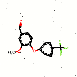 COc1cc(C=O)ccc1Oc1ccc(C(F)(F)F)cc1